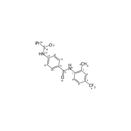 Cc1cc(C(F)(F)F)ccc1NC(=O)c1ccc(N[S+]([O-])C(C)C)cc1